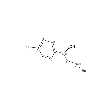 CC(C)(C)NC[C@H](O)c1ccc(F)cc1